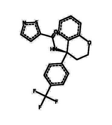 O=C(N[C@]1(c2ccc(C(F)(F)F)cc2)CCOc2cccnc21)c1ccns1